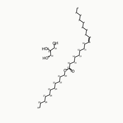 CCCCCCCC/C=C\CCCCCCCC(=O)OCCCCCCCCCCC.OCC(O)CO